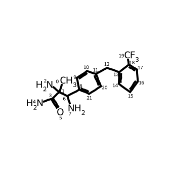 CC(N)(C(N)=O)C(N)c1ccc(Cc2ccccc2C(F)(F)F)cc1